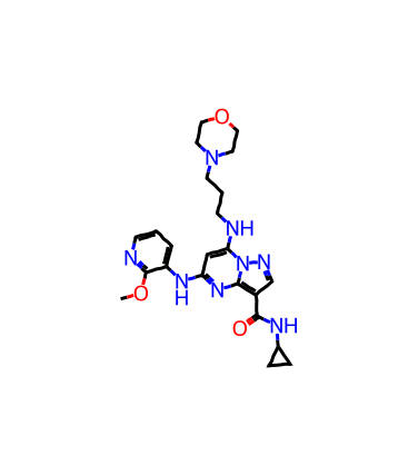 COc1ncccc1Nc1cc(NCCCN2CCOCC2)n2ncc(C(=O)NC3CC3)c2n1